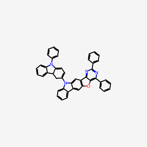 C1=C2C(CC(n3c4ccccc4c4cc5oc6c(-c7ccccc7)nc(-c7ccccc7)nc6c5cc43)=C1)c1ccccc1N2c1ccccc1